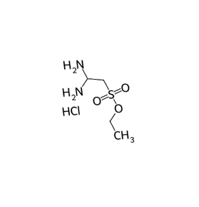 CCOS(=O)(=O)CC(N)N.Cl